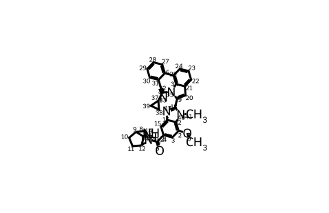 COc1cc(C(=O)N2CC3CCC2[C@@H]3N)cc2nc(-c3cc4cccc(-c5ccccc5C#N)c4n3CC3CC3)n(C)c12